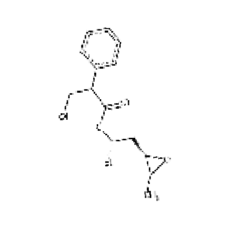 CC[C@@H](C[C@H]1OC1C)OC(=O)C(CO)c1ccccc1